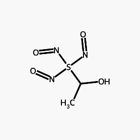 CC(O)S(N=O)(N=O)N=O